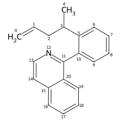 C=CCC(C)c1ccccc1-c1nccc2ccccc12